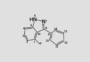 Cc1c[c]cc2[nH]nc(-c3ccccc3)c12